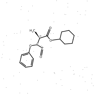 C[C@@H](C(=O)OC1CCCCC1)N(Oc1ccccc1)P=O